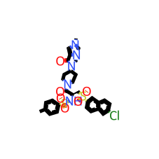 Cc1ccc(S(=O)(=O)N[C@H](CS(=O)(=O)c2ccc3cc(Cl)ccc3c2)C(=O)N2CCC(N3CN4CN(C)C=C4C3=O)CC2)cc1